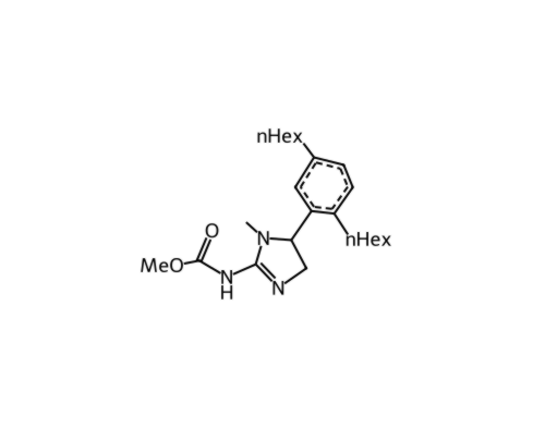 CCCCCCc1ccc(CCCCCC)c(C2CN=C(NC(=O)OC)N2C)c1